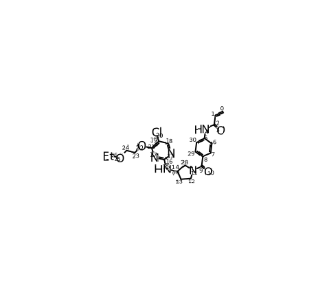 C=CC(=O)Nc1ccc(C(=O)N2CC[C@@H](Nc3ncc(Cl)c(OCCOCC)n3)C2)cc1